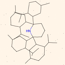 CC1CCC(C(C)C)C(C2(C3CC(C)CCC3C(C)C)CCCC(C3CC(C)CCC3C(C)C)(C3CC(C)CCC3C(C)C)N2)C1